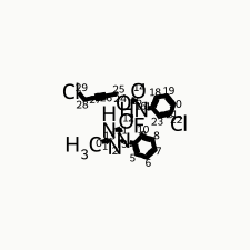 Cc1nn(-c2ccccc2F)c(=O)[nH]1.O=C(Nc1cccc(Cl)c1)OCC#CCCl